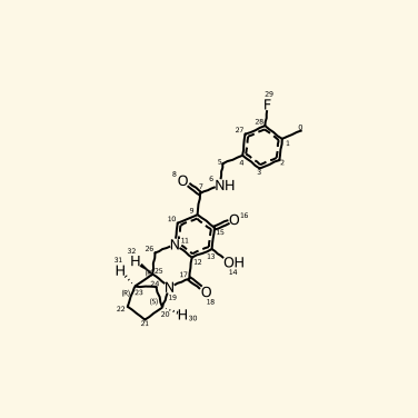 Cc1ccc(CNC(=O)c2cn3c(c(O)c2=O)C(=O)N2[C@H]4CC[C@H](C4)[C@@H]2C3)cc1F